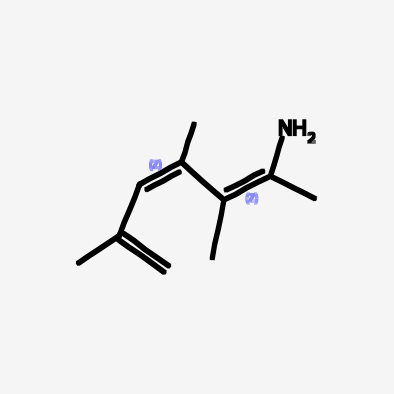 C=C(C)/C=C(C)\C(C)=C(\C)N